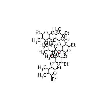 CCC1O[C@@H](C(C)C)C(C)[C@@H](C)[C@@H]1O[C@@H]1OC(CC)[C@H](O[C@H]2OC(CC)[C@H](C)[C@H](O[C@@H]3OC(CC)[C@H](C)[C@H](O[C@@H]4OC(CC)[C@H](C)[C@H](C)C4O[C@@H]4OC(C)[C@@H](C)[C@H](C)C4C)C3C)C2C)[C@H](C)C1C